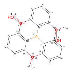 COc1cccc(CO)c1P(c1c(CO)cccc1OC)c1c(OC)cccc1OC